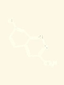 O=C(O)c1cc2ccc(Cl)cc2nn1